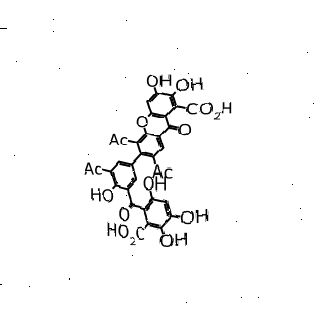 CC(=O)c1cc(-c2c(C(C)=O)cc3c(=O)c4c(C(=O)O)c(O)c(O)cc4oc3c2C(C)=O)cc(C(=O)c2c(O)cc(O)c(O)c2C(=O)O)c1O